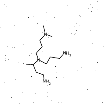 CC(CCN)N(CCCN)CCCN(C)C